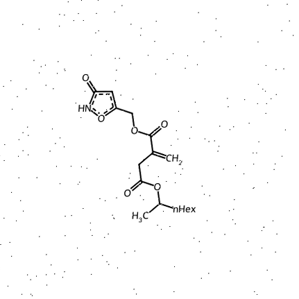 C=C(CC(=O)OC(C)CCCCCC)C(=O)OCc1cc(=O)[nH]o1